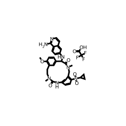 COc1ccc2cc1CCN(C)C(=O)Nc1ccc(S(=O)(=O)C3CC3)c(c1)CN(C)C(=O)C2Nc1ccc2c(N)nccc2c1.O=C(O)C(F)(F)F